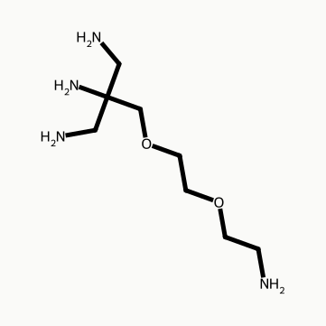 NCCOCCOCC(N)(CN)CN